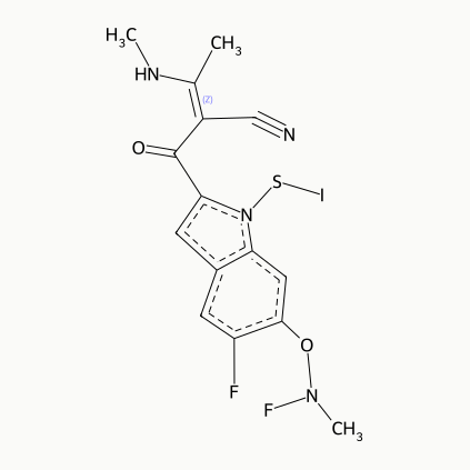 CN/C(C)=C(/C#N)C(=O)c1cc2cc(F)c(ON(C)F)cc2n1SI